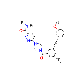 CCOc1cccc(C#Cc2cc(C(=O)N3CCN(c4ccc(C(=O)N(CC)CC)nn4)CC3)cc(C(F)(F)F)c2)c1